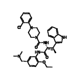 CCOc1ccc(CN(C)C)cc1NC(=O)[C@H](NC(=O)N1CCN(c2ccccc2Cl)CC1)[C@H](C)c1c[nH]c2ccccc12